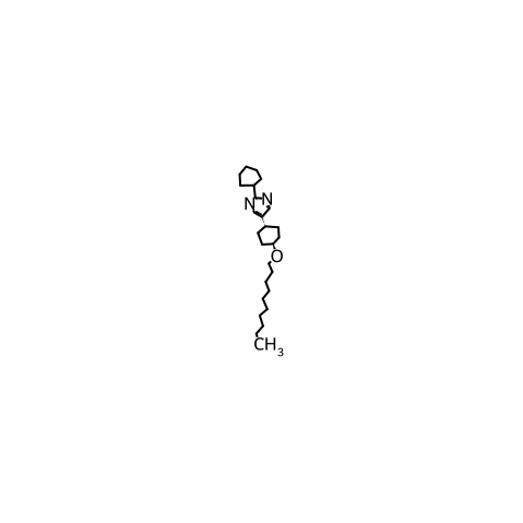 CCCCCCCCCCO[C@H]1CC[C@H](c2cnc(C3CCCCC3)nc2)CC1